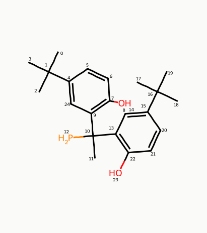 CC(C)(C)c1ccc(O)c(C(C)(P)c2cc(C(C)(C)C)ccc2O)c1